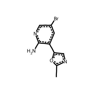 Cc1ncc(-c2cc(Br)cnc2N)o1